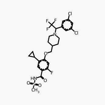 CS(=O)(=O)NC(=O)c1cc(C2CC2)c(OCC2CCN(C(c3cc(Cl)cc(Cl)c3)C(F)(F)F)CC2)cc1F